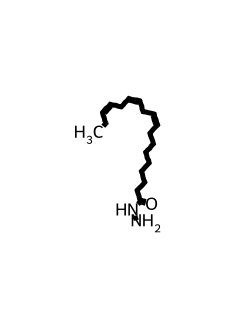 CC/C=C\C/C=C\C/C=C\CCCCCCCC(=O)NN